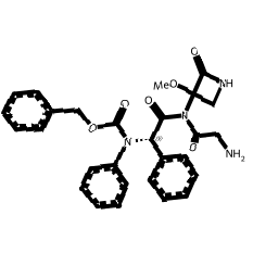 COC1(N(C(=O)CN)C(=O)[C@H](c2ccccc2)N(C(=O)OCc2ccccc2)c2ccccc2)CNC1=O